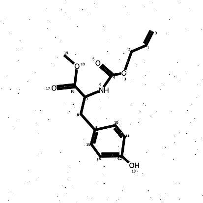 C=CCOC(=O)NC(Cc1ccc(O)cc1)C(=O)OC